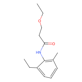 CCOCCC(=O)Nc1c(C)cccc1CC